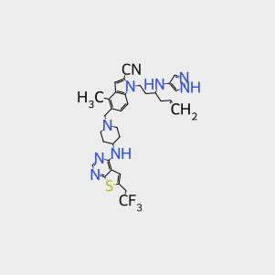 C=CCC(CCn1c(C#N)cc2c(C)c(CN3CCC(Nc4ncnc5sc(CC(F)(F)F)cc45)CC3)ccc21)Nc1cn[nH]c1